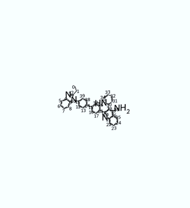 CCc1nc2ccccc2n1-c1ccc(-c2ccc(-c3nc4ccccc4c(N)c3[C@@H]3C=CC=CN3)cc2)cc1